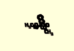 CCOC(=O)C1Cc2ccccc2CN1C(=O)c1ccc(C)o1